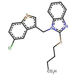 O=C(O)CCCSc1nc2ccccc2n1Cc1csc2ccc(Cl)cc12